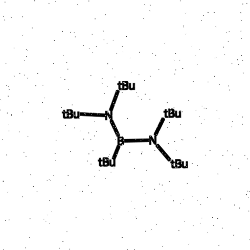 CC(C)(C)B(N(C(C)(C)C)C(C)(C)C)N(C(C)(C)C)C(C)(C)C